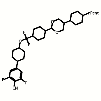 CCCCCC1CCC(C2COC(C3CCC(C(F)(F)OC4CCC(c5cc(F)c(C#N)c(F)c5)CC4)CC3)OC2)CC1